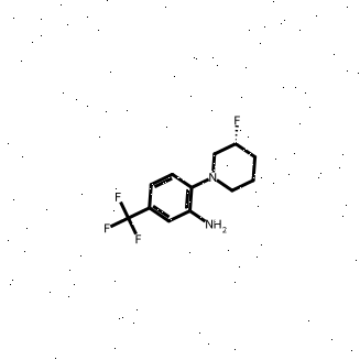 Nc1cc(C(F)(F)F)ccc1N1CCC[C@@H](F)C1